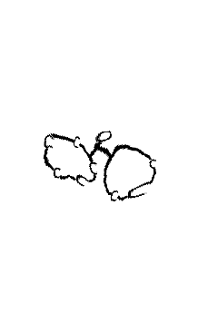 O=C(C1CCCCCCCCCCCCC1)C1CCCCCCCCCCCCC1